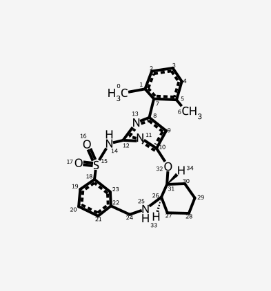 Cc1cccc(C)c1-c1cc2nc(n1)NS(=O)(=O)c1cccc(c1)CN[C@@H]1CCCC[C@H]1O2